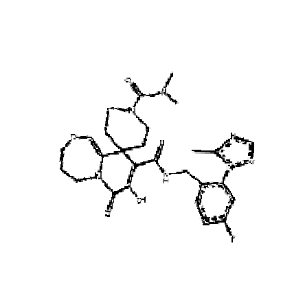 Cc1ncnn1-c1cc(F)ccc1CNC(=O)C1=C(O)C(=O)N2CCCOC=C2C12CCN(C(=O)N(C)C)CC2